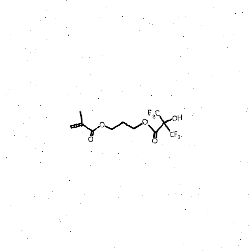 C=C(C)C(=O)OCCCOC(=O)C(O)(C(F)(F)F)C(F)(F)F